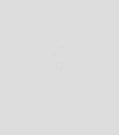 CNc1nc(C)c(-c2ccnc(Nc3ccc(CNC(C)=O)cc3)n2)s1